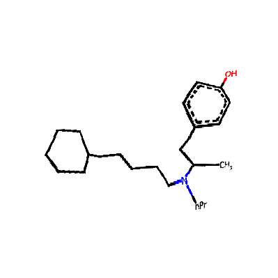 CCCN(CCCCC1CCCCC1)C(C)Cc1ccc(O)cc1